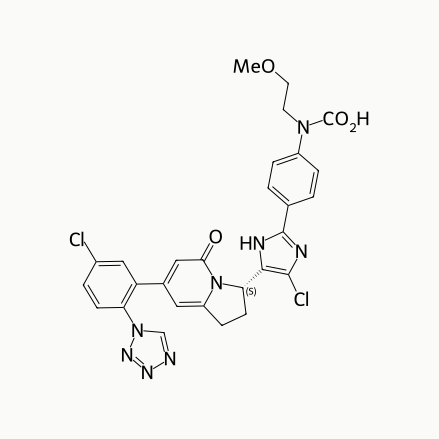 COCCN(C(=O)O)c1ccc(-c2nc(Cl)c([C@@H]3CCc4cc(-c5cc(Cl)ccc5-n5cnnn5)cc(=O)n43)[nH]2)cc1